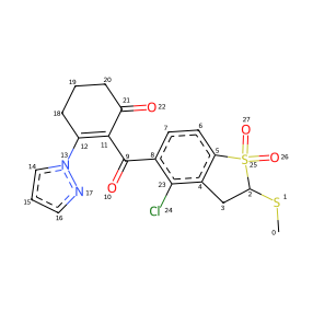 CSC1Cc2c(ccc(C(=O)C3=C(n4cccn4)CCCC3=O)c2Cl)S1(=O)=O